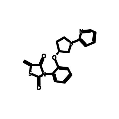 C=C1SC(=O)N(c2ccccc2O[C@@H]2CCN(c3ccccn3)C2)C1=O